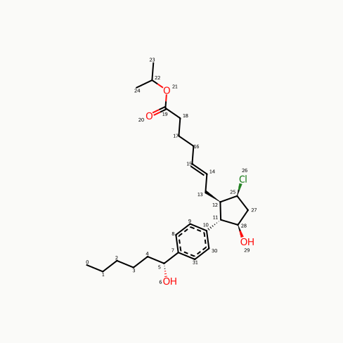 CCCCC[C@@H](O)c1ccc([C@@H]2[C@@H](CC=CCCCC(=O)OC(C)C)[C@@H](Cl)C[C@H]2O)cc1